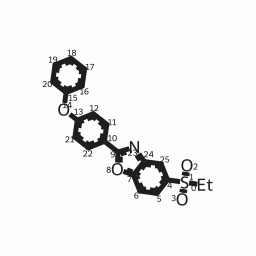 CCS(=O)(=O)c1ccc2oc(-c3ccc(Oc4ccccc4)cc3)nc2c1